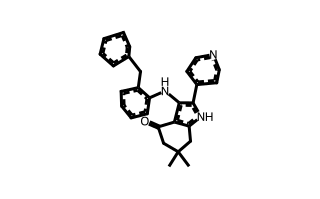 CC1(C)CC(=O)c2c([nH]c(-c3ccncc3)c2Nc2ccccc2Cc2ccccc2)C1